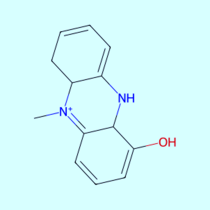 C[N+]1=C2C=CC=C(O)C2NC2=CC=CCC21